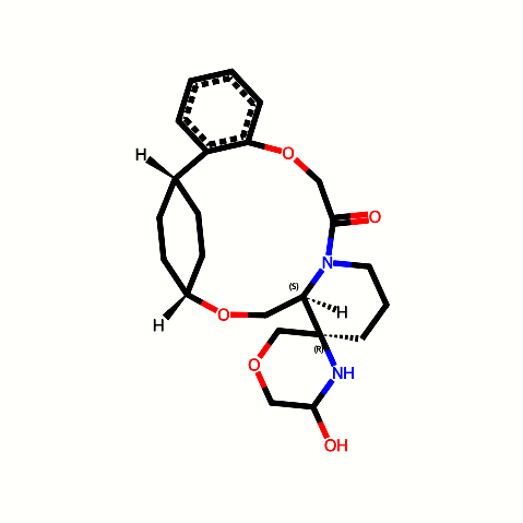 O=C1COc2ccccc2[C@H]2CC[C@H](CC2)OC[C@H]2N1CCC[C@]21COCC(O)N1